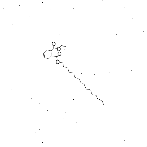 CCCCCCCCCCCCCCCCOC(=O)C1CC=CCC1C(=O)OCC